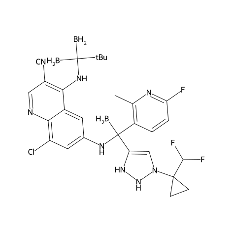 BC(Nc1cc(Cl)c2ncc(C#N)c(NC(B)(B)C(C)(C)C)c2c1)(C1=CN(C2(C(F)F)CC2)NN1)c1ccc(F)nc1C